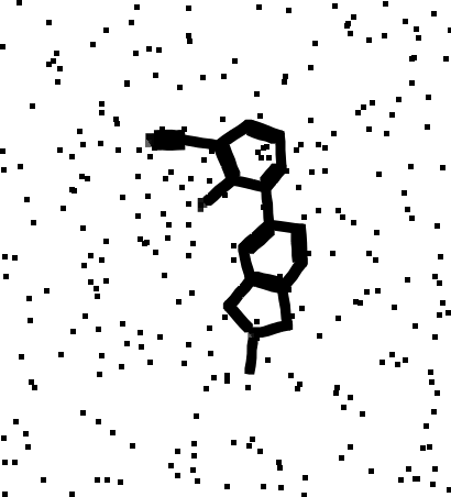 CN1Cc2ccc(-c3cccc(C#N)c3F)cc2C1